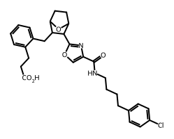 O=C(O)CCc1ccccc1CC1C2CCC(O2)C1c1nc(C(=O)NCCCCc2ccc(Cl)cc2)co1